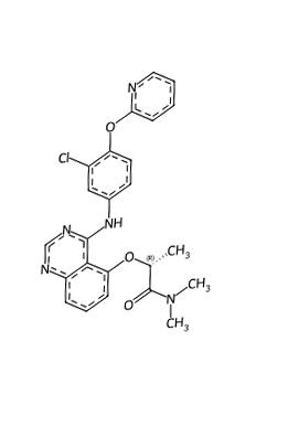 C[C@@H](Oc1cccc2ncnc(Nc3ccc(Oc4ccccn4)c(Cl)c3)c12)C(=O)N(C)C